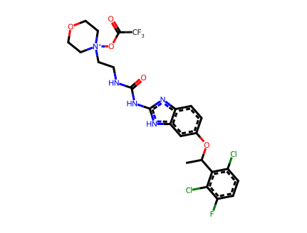 CC(Oc1ccc2nc(NC(=O)NCC[N+]3(OC(=O)C(F)(F)F)CCOCC3)[nH]c2c1)c1c(Cl)ccc(F)c1Cl